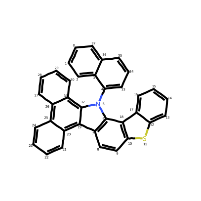 c1ccc2c(-n3c4c(ccc5sc6ccccc6c54)c4c5ccccc5c5ccccc5c43)cccc2c1